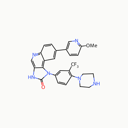 COc1ccc(-c2ccc3ncc4[nH]c(=O)n(-c5ccc(N6CCNCC6)c(C(F)(F)F)c5)c4c3c2)cn1